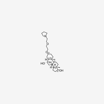 C[C@]12CC[C@H](OCCOCCN3CCCC3)C[C@@H]1[C@@H](O)C[C@@H]1[C@@H]2CC[C@]2(C)[C@@H](O)CC[C@@H]12